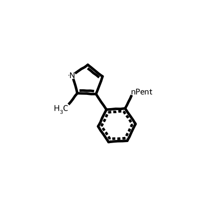 CCCCCc1ccccc1C1=C(C)[N]C=C1